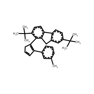 Cc1cccc(C2=C(c3c(C(C)(C)C)ccc4c3[CH]c3cc(C(C)(C)C)ccc3-4)CC=C2)c1